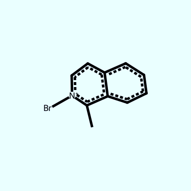 Cc1c2ccccc2cc[n+]1Br